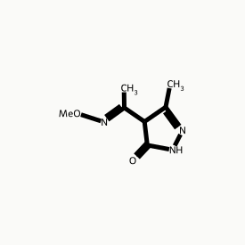 CON=C(C)C1C(=O)NN=C1C